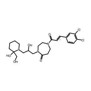 O=C(/C=C/c1ccc(Cl)c(Cl)c1)N1CCC(=O)N(CC(O)CN2CCCCC2(O)CO)CC1